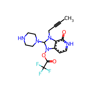 CC#CCN1c2c(cc[nH]c2=O)N(OC(=O)C(F)(F)F)C1N1CCNCC1